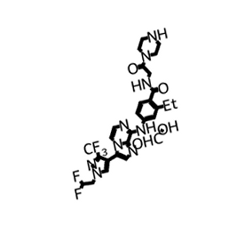 CCc1cc(Nc2nccn3c(-c4cn(CC(F)F)nc4C(F)(F)F)cnc23)ccc1C(=O)NCC(=O)N1CCNCC1.O=CO